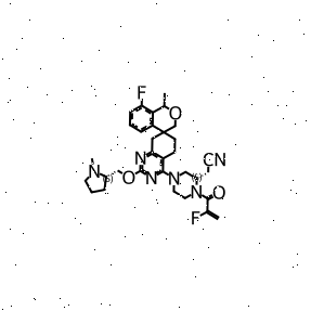 C=C(F)C(=O)N1CCN(c2nc(OC[C@@H]3CCCN3C)nc3c2CCC2(COC(C)c4c(F)cccc42)C3)C[C@@H]1CC#N